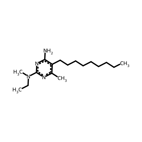 CCCCCCCCCc1c(C)nc(N(C)CC)nc1N